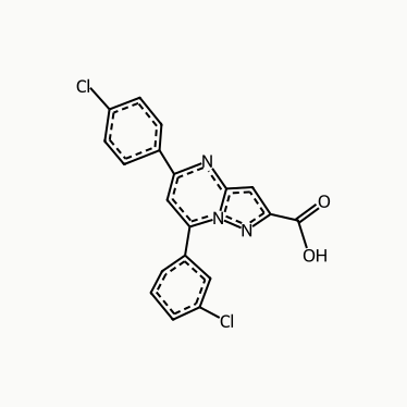 O=C(O)c1cc2nc(-c3ccc(Cl)cc3)cc(-c3cccc(Cl)c3)n2n1